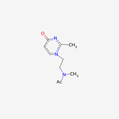 CC(=O)N(C)CCn1ccc(=O)nc1C